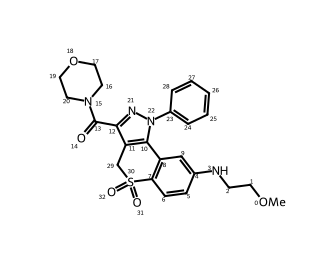 COCCNc1ccc2c(c1)-c1c(c(C(=O)N3CCOCC3)nn1-c1ccccc1)CS2(=O)=O